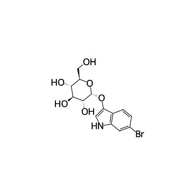 OC[C@H]1O[C@H](Oc2c[nH]c3cc(Br)ccc23)[C@H](O)[C@@H](O)[C@@H]1O